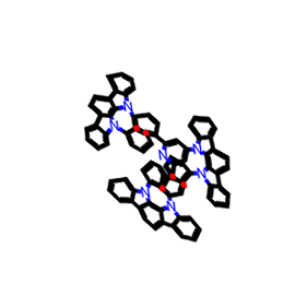 c1ccc(-n2c3ccccc3c3ccc4c5ccccc5n(-c5ccc(-c6cc(-n7c8ccccc8c8ccc9c%10ccccc%10n(-c%10ccccc%10)c9c87)cc(-c7ccc(-n8c9ccccc9c9ccc%10c%11ccccc%11n(-c%11ccccc%11)c%10c98)cc7)n6)cc5)c4c32)cc1